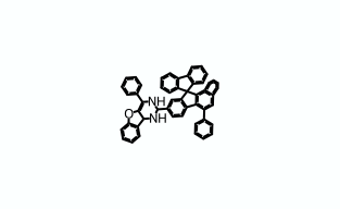 c1ccc(C2=C3Oc4ccccc4C3NC(c3ccc4c(c3)C3(c5ccccc5-c5ccccc53)c3c-4c(-c4ccccc4)cc4ccccc34)N2)cc1